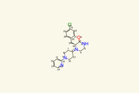 O=C1NCCN(C2CCN(c3ccccn3)CC2)[C@H]1Cc1ccc(Cl)cc1